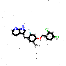 COc1cc(Cc2c[nH]c3ncccc23)c(F)cc1OCc1ccc(Cl)cc1Cl